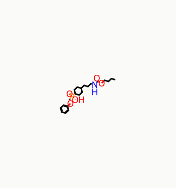 CCCCOC(=O)NCCCC1CCC([P@@](=O)(O)COc2ccccc2)CC1